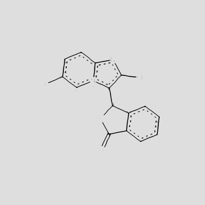 Cc1nc2ccc(Br)cn2c1C1OC(=O)c2ccccc21